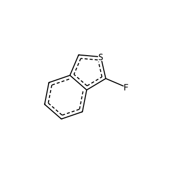 Fc1scc2ccccc12